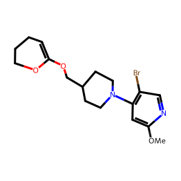 COc1cc(N2CCC(COC3=CCCCO3)CC2)c(Br)cn1